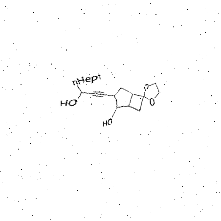 CCCCCCCC(O)C#CC1CC2C(CC23OCCO3)C1O